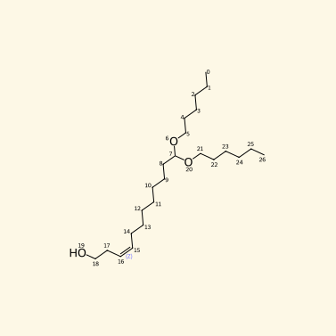 CCCCCCOC(CCCCCCC/C=C\CCO)OCCCCCC